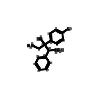 NCC(O)(c1ccc(Cl)cc1)C(C(=O)O)c1ccccc1